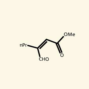 CCCC(C=O)=CC(=O)OC